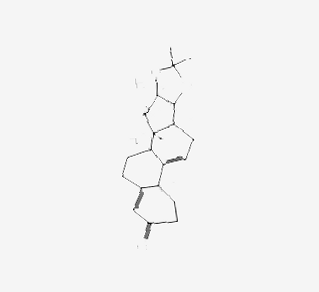 CC(=O)[C@@]12OC(C)(C)O[C@@H]1C[C@H]1[C@@H]3CCC4=CC(=O)CC[C@]4(C)C3=CC[C@@]12C